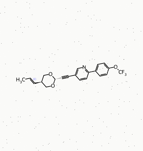 C/C=C/[C@H]1CO[C@H](C#Cc2ccc(-c3ccc(OC(F)(F)F)cc3)nc2)OC1